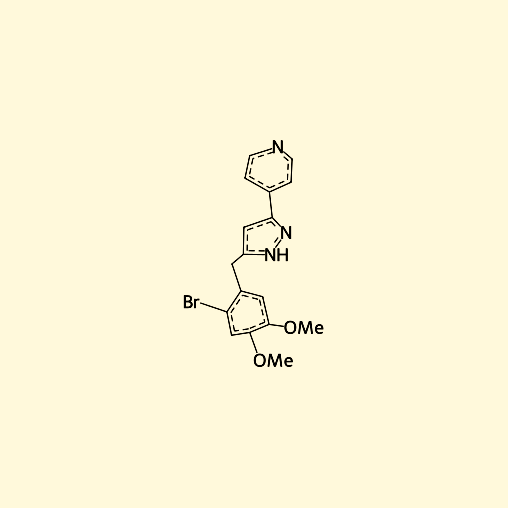 COc1cc(Br)c(Cc2cc(-c3ccncc3)n[nH]2)cc1OC